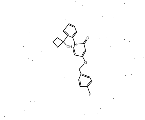 O=c1cc(OCc2ccc(F)cc2)ccn1-c1ccccc1C1(O)CCC1